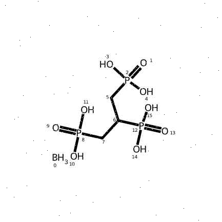 B.O=P(O)(O)CC(CP(=O)(O)O)P(=O)(O)O